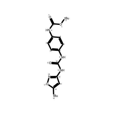 CC(C)(C)OC(=O)Nc1ccc(NC(=O)Nc2cc(C(C)(C)C)on2)cc1